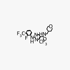 O=C(NCC1CCOCC1)c1cnc(Nc2cccc(C(F)(F)F)c2F)nc1C(F)(F)F